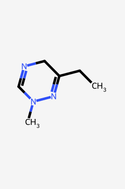 CCC1=NN(C)C=NC1